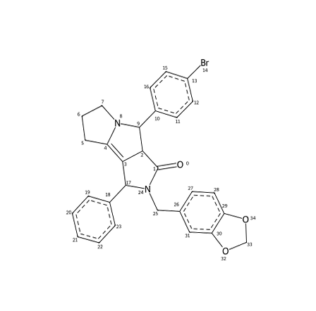 O=C1C2C(=C3CCCN3C2c2ccc(Br)cc2)C(c2ccccc2)N1Cc1ccc2c(c1)OCO2